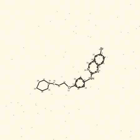 Brc1ccc2nc(Nc3ccc(OCCCN4CCCCC4)cc3)ncc2c1